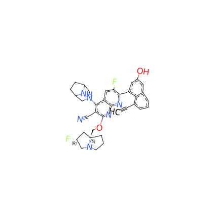 C#Cc1cccc2cc(O)cc(-c3nc4nc(OC[C@@]56CCCN5C[C@H](F)C6)c(C#N)c(N5CC6CCC(C5)N6)c4cc3F)c12